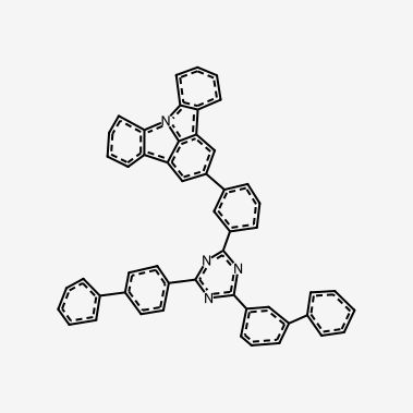 c1ccc(-c2ccc(-c3nc(-c4cccc(-c5ccccc5)c4)nc(-c4cccc(-c5cc6c7ccccc7n7c8ccccc8c(c5)c67)c4)n3)cc2)cc1